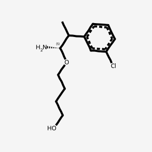 CC(c1cccc(Cl)c1)[C@@H](N)OCCCCO